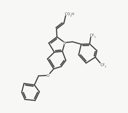 O=C(O)/C=C/c1cc2cc(OCc3ccccc3)ccc2n1Cc1ccc(C(F)(F)F)cc1C(F)(F)F